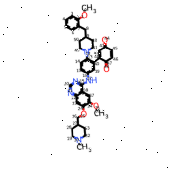 COc1ccccc1CC1CCN(c2ccc(Nc3ncnc4cc(OCC5CCN(C)CC5)c(OC)cc34)cc2C2=CC(=O)C=CC2=O)CC1